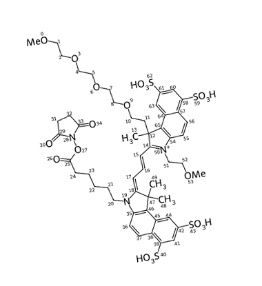 COCCOCCOCCOCCC1(C)C(/C=C/C=C2/N(CCCCCC(=O)ON3C(=O)CCC3=O)c3ccc4c(S(=O)(=O)O)cc(S(=O)(=O)O)cc4c3C2(C)C)=[N+](CCOC)c2ccc3c(S(=O)(=O)O)cc(S(=O)(=O)O)cc3c21